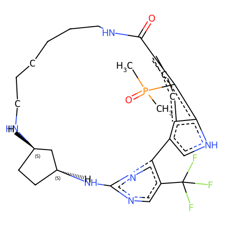 CP(C)(=O)c1c2ccc3c(c[nH]c13)-c1nc(ncc1C(F)(F)F)N[C@H]1CC[C@@H](C1)NCCCCCCNC2=O